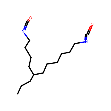 CCCC(CCCCCCN=C=O)CCCCN=C=O